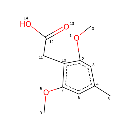 COc1cc(C)cc(OC)c1CC(=O)O